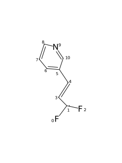 F[C](F)C=Cc1cccnc1